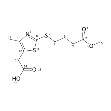 COC(=O)CCCSc1nc(C)c(CC(=O)O)s1